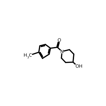 Cc1ccc(C(=O)N2CCC(O)CC2)cc1